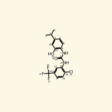 CC(C)c1ccc(NC(=O)Nc2cc(C(F)(F)F)ccc2Cl)c(O)c1